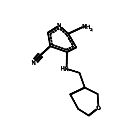 N#Cc1cnc(N)cc1NCC1CCCOC1